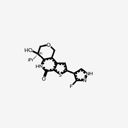 CC(C)[C@]1(O)COCc2c1[nH]c(=O)c1sc(-c3c[nH]nc3F)cc21